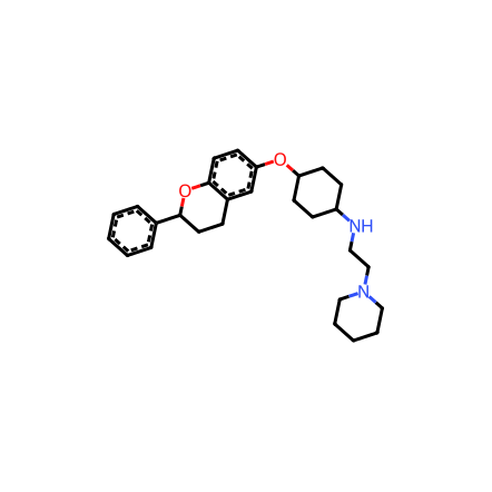 c1ccc(C2CCc3cc(OC4CCC(NCCN5CCCCC5)CC4)ccc3O2)cc1